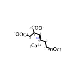 CCCCCCCCCC/C=C/C(CC(=O)[O-])C(=O)[O-].[Ca+2]